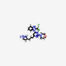 FC(F)c1nc2ccccc2n1-c1cc(CCCC2CCNC2)nc(N2CCOCC2)n1